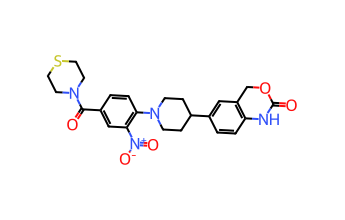 O=C1Nc2ccc(C3CCN(c4ccc(C(=O)N5CCSCC5)cc4[N+](=O)[O-])CC3)cc2CO1